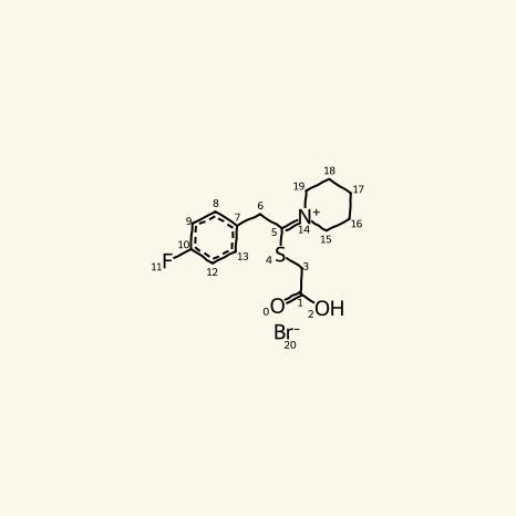 O=C(O)CSC(Cc1ccc(F)cc1)=[N+]1CCCCC1.[Br-]